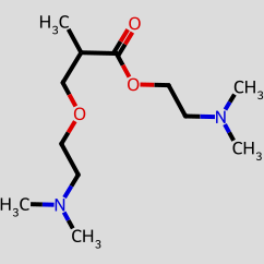 CC(COCCN(C)C)C(=O)OCCN(C)C